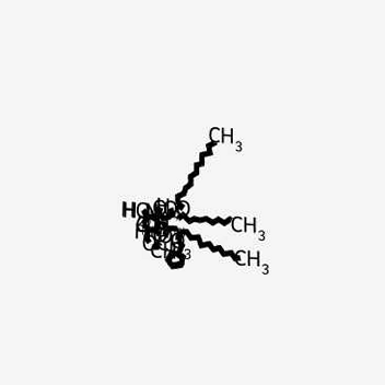 CCCCCCCCCCCCCC(=O)O[C@H](CCCCCCCCCCC)CC(=O)[C@@]1(N)C(O)O[C@@H]2COC(C)(C)O[C@H]2[C@@H]1NC(=O)C[C@@H](CCCCCCCCCCC)OCc1ccccc1